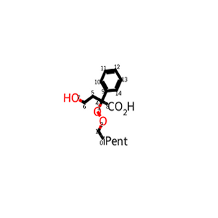 CCCC(C)COOC(CCO)(C(=O)O)c1ccccc1